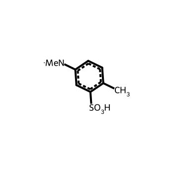 C[N]c1ccc(C)c(S(=O)(=O)O)c1